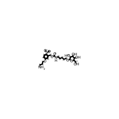 NCCCOc1ccc([N+](=O)[O-])c(COC(=O)NCCCCCOC2OC(CO)C(O)C(O)C2O)c1